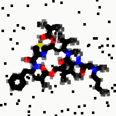 C=CCOC(=O)[C@@H](C)C[C@H](Cc1ccccc1)NC(=O)c1csc([C@@H](C[C@H](C(C)C)N(C)C(=O)[C@@H](NC(=O)CN(C)CCCC)[C@@H](C)CC)OC(=O)C(C)C)n1